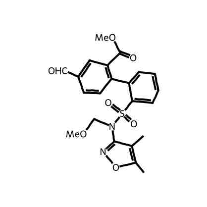 COCN(c1noc(C)c1C)S(=O)(=O)c1ccccc1-c1ccc(C=O)cc1C(=O)OC